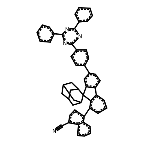 N#Cc1ccc(-c2cccc3c2C2(c4cc(-c5ccc(-c6nc(-c7ccccc7)nc(-c7ccccc7)n6)cc5)ccc4-3)C3CC4CC(C3)CC2C4)c2ccccc12